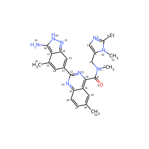 CCc1ncc(CN(C)C(=O)c2nc(-c3cc(C)c4c(N)[nH]nc4c3)nc3ccc(C)cc23)n1C